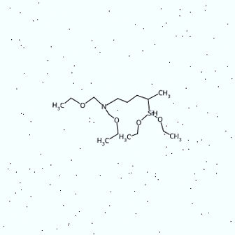 CCOCN(CCCC(C)[SiH](OCC)OCC)COCC